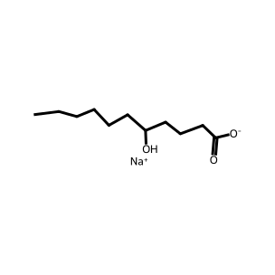 CCCCCCC(O)CCCC(=O)[O-].[Na+]